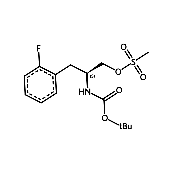 CC(C)(C)OC(=O)N[C@H](COS(C)(=O)=O)Cc1ccccc1F